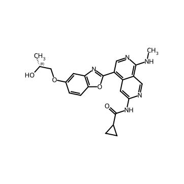 CNc1ncc(-c2nc3cc(OC[C@@H](C)O)ccc3o2)c2cc(NC(=O)C3CC3)ncc12